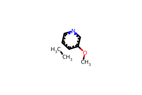 CC.COc1cccnc1